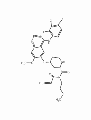 C=CC(=O)N(CCSC)C(=O)[C@@H]1C[C@@H](Oc2cc3c(Nc4ccc(F)c(Cl)c4F)ncnc3cc2OC)CCN1